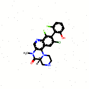 CN1C(=O)[C@H]2CNCCN2c2c1cnc1c(F)c(-c3c(O)cccc3F)c(Cl)cc21